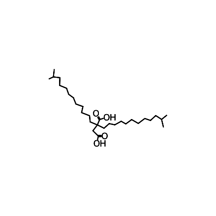 CC(C)CCCCCCCCCCC(CCCCCCCCCCC(C)C)(CC(=O)O)C(=O)O